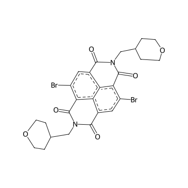 O=C1c2cc(Br)c3c4c(cc(Br)c(c24)C(=O)N1CC1CCOCC1)C(=O)N(CC1CCOCC1)C3=O